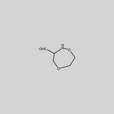 O=[C]C1COCCON1